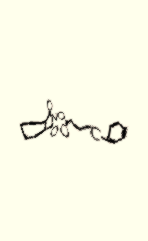 O=C(CCCCc1ccccc1)ON1C(=O)c2ccccc2C1=O